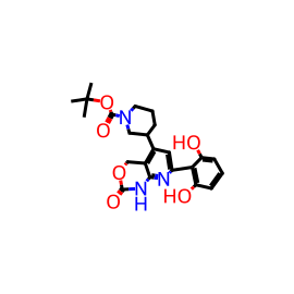 CC(C)(C)OC(=O)N1CCCC(c2cc(-c3c(O)cccc3O)nc3c2COC(=O)N3)C1